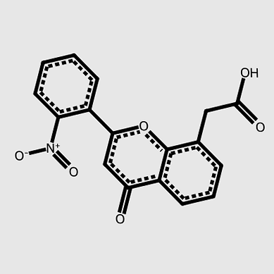 O=C(O)Cc1cccc2c(=O)cc(-c3ccccc3[N+](=O)[O-])oc12